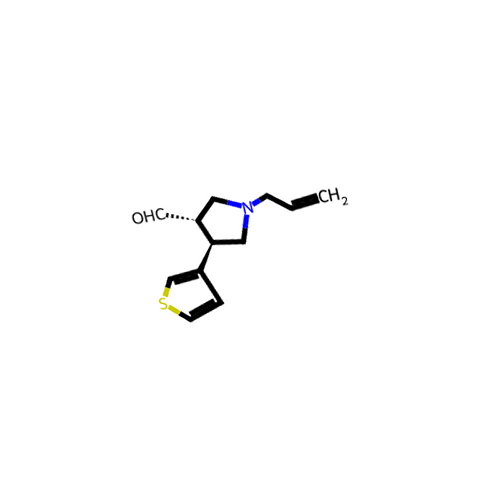 C=CCN1C[C@@H](C=O)[C@H](c2ccsc2)C1